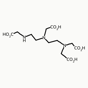 O=C(O)CNCCN(CCN(CC(=O)O)CC(=O)O)CC(=O)O